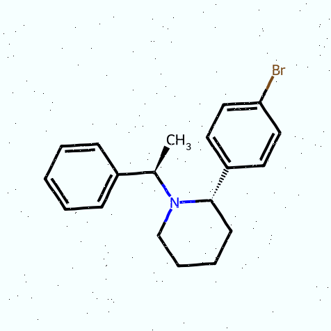 C[C@H](c1ccccc1)N1CCCC[C@H]1c1ccc(Br)cc1